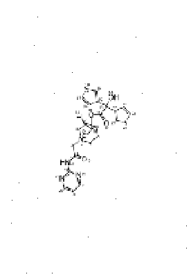 O=C(C[N+]12CCC(CC1)[C@@H](OC(=O)C(O)(c1ccsc1)c1ccsc1)C2)Nc1ncccn1